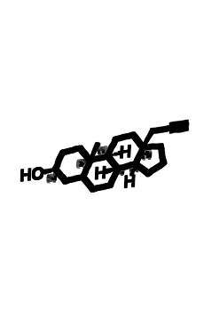 C#CC[C@@]12CCC[C@H]1[C@@H]1CCC3C[C@@H](O)CC[C@]3(C)[C@H]1CC2